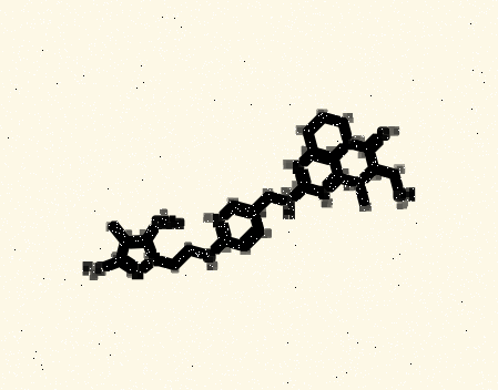 COc1c(C)c(C(F)(F)F)nn1CCOc1ccc(CNc2nc3c4c(n2)N(C)C(CO)C(=O)N4CCC3)cn1